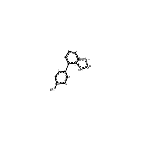 CC(C)(C)c1ccc(-c2cccc3nsnc23)cc1